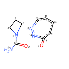 NC(=O)N1CCC1.O=c1ccccnn1